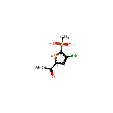 COC(=O)c1cc(Br)c(S(C)(=O)=O)s1